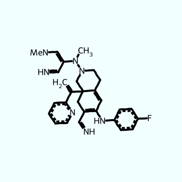 C=C(c1ccccn1)C12CC(C=N)=C(Nc3ccc(F)cc3)C=C1CCN(N(C)/C(C=N)=C/NC)C2